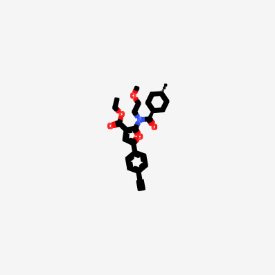 C#Cc1ccc(-c2cc(C(=O)OCC)c(N(CCOC)C(=O)[C@H]3CC[C@H](C)CC3)o2)cc1